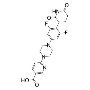 O=C1CCC(c2c(F)cc(N3CCN(c4ccc(C(=O)O)cn4)CC3)cc2F)C(=O)N1